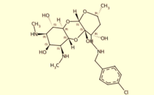 CN[C@@H]1[C@H](O)[C@H](NC)[C@H]2O[C@]3(O)[C@H](O[C@@H]2[C@H]1O)O[C@H](C)C[C@@]3(O)CNCc1ccc(Cl)cc1